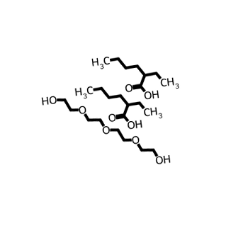 CCCCC(CC)C(=O)O.CCCCC(CC)C(=O)O.OCCOCCOCCOCCO